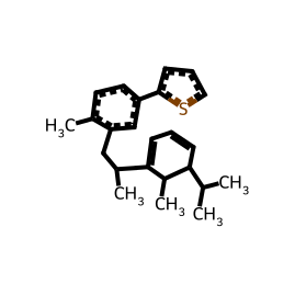 Cc1ccc(-c2cccs2)cc1CC(C)C1=CC=CC(C(C)C)C1C